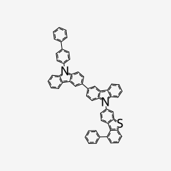 c1ccc(-c2ccc(-n3c4ccccc4c4cc(-c5ccc6c(c5)c5ccccc5n6-c5ccc6c(c5)sc5cccc(-c7ccccc7)c56)ccc43)cc2)cc1